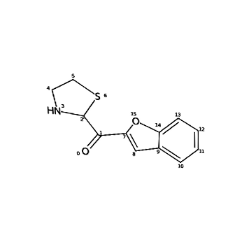 O=C([C]1NCCS1)c1cc2ccccc2o1